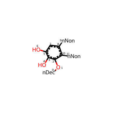 CCCCCCCCCCOc1c(O)c(O)cc(CCCCCCCCC)c1CCCCCCCCC